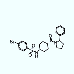 O=C([C@H]1CC[C@H](NS(=O)(=O)c2ccc(Br)cc2)CC1)N1CCCC1c1ccccc1